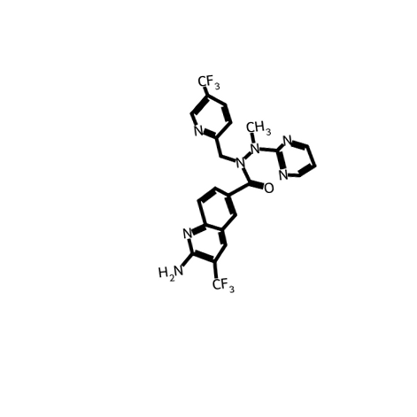 CN(c1ncccn1)N(Cc1ccc(C(F)(F)F)cn1)C(=O)c1ccc2nc(N)c(C(F)(F)F)cc2c1